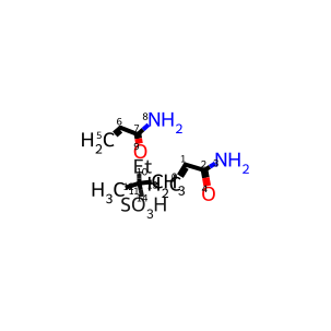 C=CC(N)=O.C=CC(N)=O.CCC(C)(C)S(=O)(=O)O